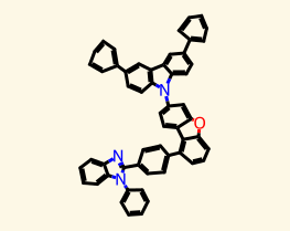 c1ccc(-c2ccc3c(c2)c2cc(-c4ccccc4)ccc2n3-c2ccc3c(c2)oc2cccc(-c4ccc(-c5nc6ccccc6n5-c5ccccc5)cc4)c23)cc1